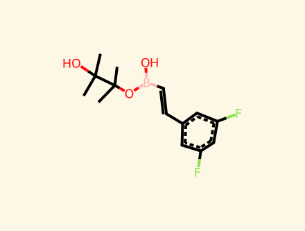 CC(C)(O)C(C)(C)OB(O)/C=C/c1cc(F)cc(F)c1